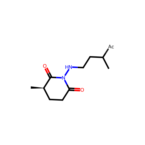 CC(=O)C(C)CCNN1C(=O)CC[C@@H](C)C1=O